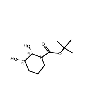 CC(C)(C)OC(=O)N1CCC[C@H](O)[C@@H]1O